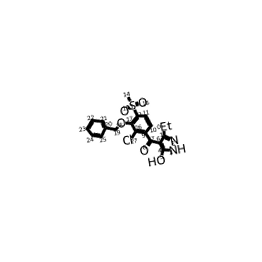 CCc1n[nH]c(O)c1C(=O)c1ccc(S(C)(=O)=O)c(OCc2ccccc2)c1Cl